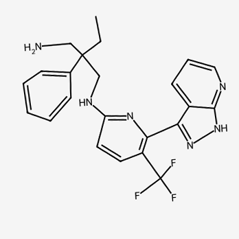 CCC(CN)(CNc1ccc(C(F)(F)F)c(-c2n[nH]c3ncccc23)n1)c1ccccc1